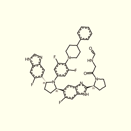 O=CNCC(=O)N1CCC[C@H]1c1nc2cc([C@H]3CC[C@H](c4cc5nc[nH]c5cc4F)N3c3cc(F)c(N4CCC(c5ccccc5)CC4)c(F)c3)c(F)cc2[nH]1